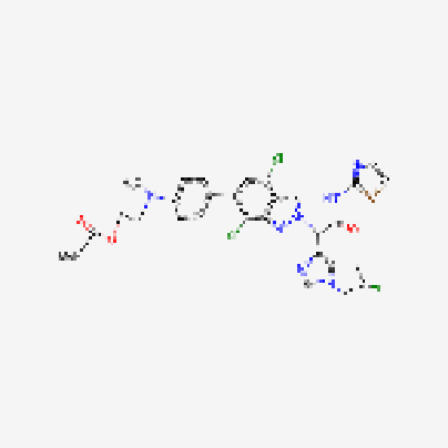 CNC(=O)OCCN(C)c1ccc(-c2cc(Cl)c3cn(C(C(=O)Nc4nccs4)c4ncn5c4C[C@@H](F)C5)nc3c2Cl)cc1